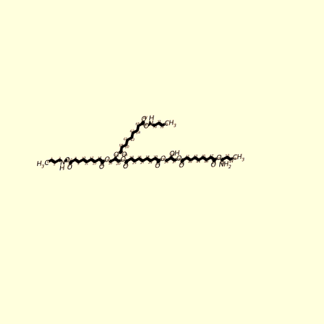 CCCCNOC(=O)CCCCCCCC(=O)OCC(COC(=O)CCCCCCCC(=O)OCC(O)COC(=O)CCCCCCCC(=O)OC(N)CCC)OC(=O)CCCCCCCC(=O)ONCCCC